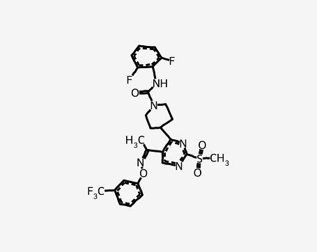 CC(=NOc1cccc(C(F)(F)F)c1)c1cnc(S(C)(=O)=O)nc1C1CCN(C(=O)Nc2c(F)cccc2F)CC1